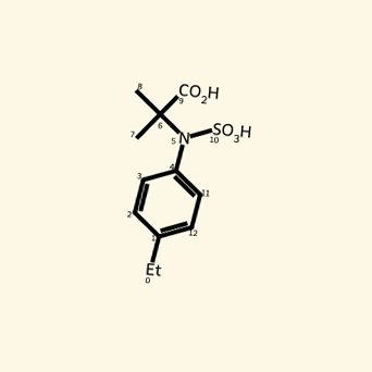 CCc1ccc(N(C(C)(C)C(=O)O)S(=O)(=O)O)cc1